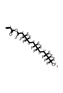 C=CC(=O)OC(F)CC(F)(F)C(F)(F)CCC(F)(F)C(F)(F)CCC(F)(F)C(F)(F)C(F)(F)C(F)(F)F